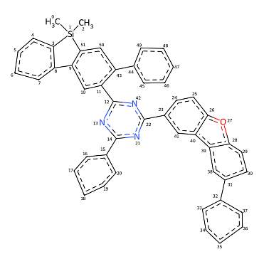 C[Si]1(C)c2ccccc2-c2cc(-c3nc(-c4ccccc4)nc(-c4ccc5oc6ccc(-c7ccccc7)cc6c5c4)n3)c(-c3ccccc3)cc21